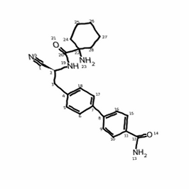 N#C[C@H](Cc1ccc(-c2ccc(C(N)=O)cc2)cc1)NC(=O)C1(N)CCCCC1